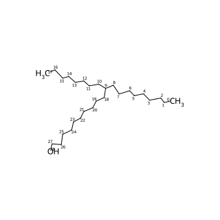 CCCCCCCCCC(CCCCCCCC)CCCCCCCCCCO